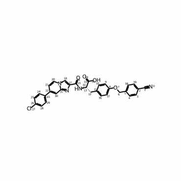 N#Cc1ccc(COc2ccc(C[C@H](NC(=O)c3cn4ccc(-c5ccc(Cl)cc5)cc4n3)C(=O)O)cc2)cc1